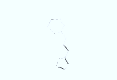 C(=Cc1ccno1)CC1COCCN1